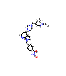 C=N/C=C\C(=C/C)CN1CCN(c2ccnc3c2ccn3Cc2ccc(C(=O)NO)cc2)CC1